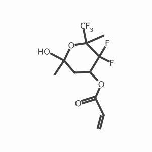 C=CC(=O)OC1CC(C)(O)OC(C)(C(F)(F)F)C1(F)F